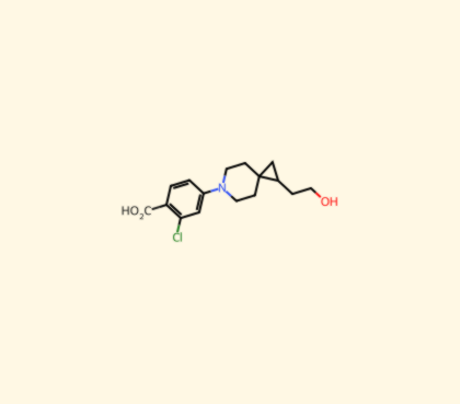 O=C(O)c1ccc(N2CCC3(CC2)CC3CCO)cc1Cl